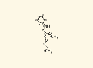 CCCOCC(CNc1ccccc1)OC